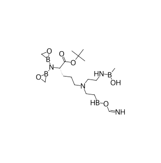 CB(O)NCCN(CCBOC=N)CCC[C@@H](C(=O)OC(C)(C)C)N(B1CO1)B1CO1